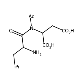 CC(=O)N(C(=O)C(N)CC(C)C)C(CC(=O)O)C(=O)O